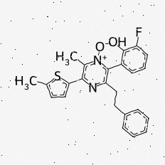 Cc1ccc(-c2nc(CCc3ccccc3)c(-c3cccc(F)c3O)[n+]([O-])c2C)s1